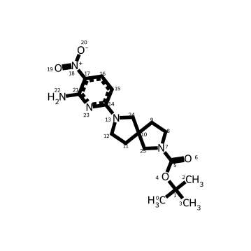 CC(C)(C)OC(=O)N1CCC2(CCN(c3ccc([N+](=O)[O-])c(N)n3)C2)C1